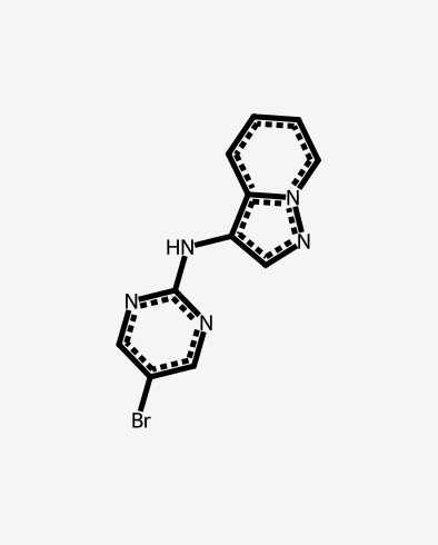 Brc1cnc(Nc2cnn3ccccc23)nc1